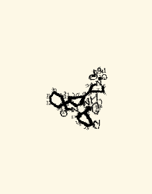 CC(C)(C)OC(=O)N1CCCC(c2ccc3c(c2)N(c2cccc(Cl)c2C(N)=O)C(=O)C32CCCCC2)C1